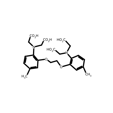 Cc1ccc(N(CC(=O)O)CC(=O)O)c(OCCOc2cc(C)ccc2N(CC(=O)O)CC(=O)O)c1